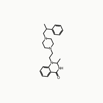 CC(CN1CCN(CCN2c3ccccc3C(=O)NC2C)CC1)c1ccccc1